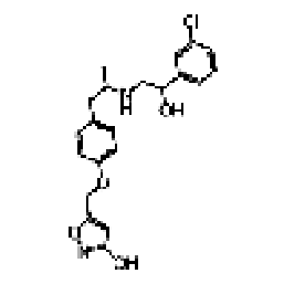 CC(Cc1ccc(OCc2cc(O)no2)cc1)NCC(O)c1cccc(Cl)c1